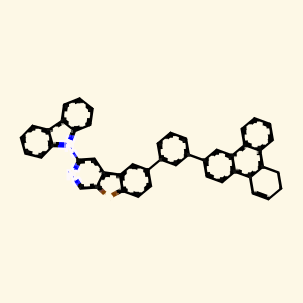 C1=Cc2c(c3ccccc3c3cc(-c4cccc(-c5ccc6sc7cnc(-n8c9ccccc9c9ccccc98)cc7c6c5)c4)ccc23)CC1